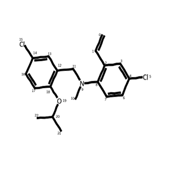 C=Cc1cc(Cl)ccc1N(C)Cc1cc(Cl)ccc1OC(C)C